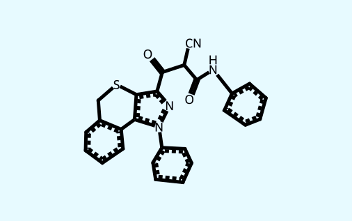 N#CC(C(=O)Nc1ccccc1)C(=O)c1nn(-c2ccccc2)c2c1SCc1ccccc1-2